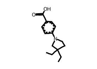 CCC1(CC)CCN(c2ccc(C(=O)O)cc2)C1